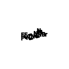 FC(F)(F)CN1CCN(c2ccn3c(Br)cnc3n2)CC1